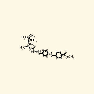 COC(=O)c1ccc(COc2ccc(CNNC(=O)CN(C)C(=O)OC(C)(C)C)cc2)cc1